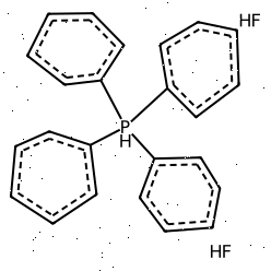 F.F.c1ccc([PH](c2ccccc2)(c2ccccc2)c2ccccc2)cc1